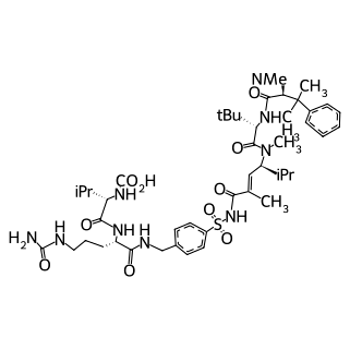 CN[C@H](C(=O)N[C@H](C(=O)N(C)[C@H](/C=C(\C)C(=O)NS(=O)(=O)c1ccc(CNC(=O)[C@H](CCCNC(N)=O)NC(=O)[C@@H](NC(=O)O)C(C)C)cc1)C(C)C)C(C)(C)C)C(C)(C)c1ccccc1